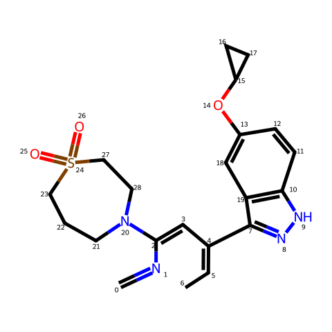 C=N/C(=C\C(=C/C)c1n[nH]c2ccc(OC3CC3)cc12)N1CCCS(=O)(=O)CC1